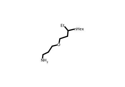 CCCCCCC(CC)CCOCCCN